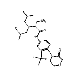 CC(C)CN(CC(F)F)[C@H](CN)C(=O)Nc1ccc(N2CCOCC2=O)c(C(F)(F)F)c1